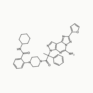 CC(C(=O)N1CCN(c2ccccc2C(=O)NC2CCCCC2)CC1)(c1ccccc1)n1ncc2c1nc(N)n1nc(-c3ccco3)nc21